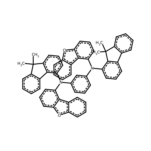 CC1(C)c2ccccc2-c2c(N(c3cccc(N(c4cccc5c4C(C)(C)c4ccccc4-5)c4cccc5oc6ccccc6c45)c3)c3cccc4oc5ccccc5c34)cccc21